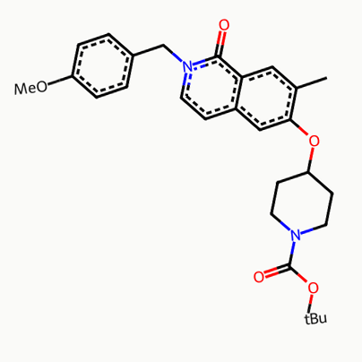 COc1ccc(Cn2ccc3cc(OC4CCN(C(=O)OC(C)(C)C)CC4)c(C)cc3c2=O)cc1